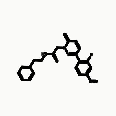 COc1ccc(-c2ccc(=O)n(CC(=O)NCCc3ccccc3)n2)c(F)c1